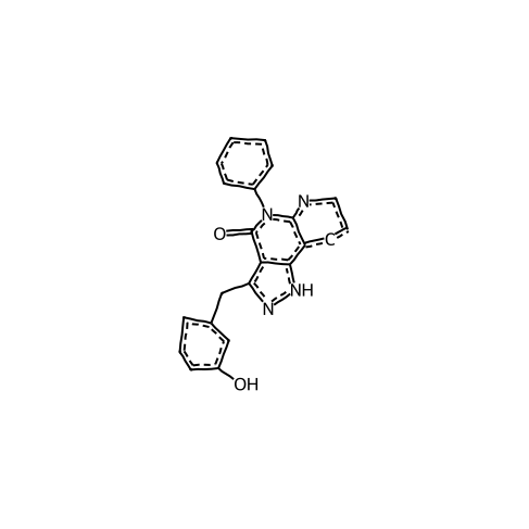 O=c1c2c(Cc3cccc(O)c3)n[nH]c2c2cccnc2n1-c1ccccc1